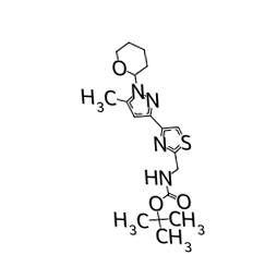 Cc1cc(-c2csc(CNC(=O)OC(C)(C)C)n2)nn1C1CCCCO1